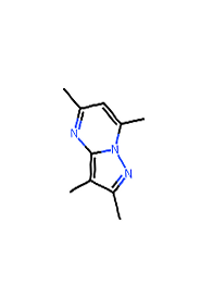 Cc1cc(C)n2nc(C)c(C)c2n1